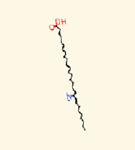 CCCCCCCCCC(CCCCCCC=CCCCCCCCCCC(=O)O)N(C)C